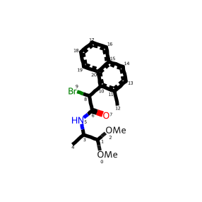 COC(OC)C(C)NC(=O)C(Br)c1c(C)ccc2ccccc12